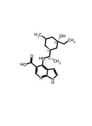 CC[C@]1(O)CC(C)C[C@H]([C@H](C)Nc2c(C(=O)O)cnc3[nH]ccc23)C1